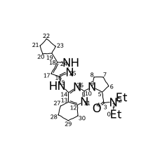 CCN(CC)C(=O)C1CCCN1c1nc2c(c(Nc3cc(C4CCCC4)[nH]n3)n1)CCCC2